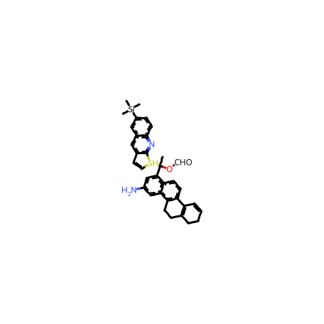 CC(OC=O)(c1cc(N)cc2c3c(ccc12)C1=C(CCC=C1)CC3)[SH]1C=Cc2cc3cc([Si](C)(C)C)ccc3nc21